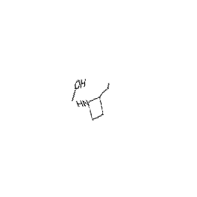 CC1CCN1.CO